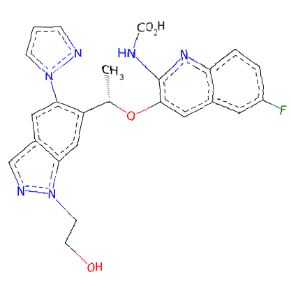 C[C@H](Oc1cc2cc(F)ccc2nc1NC(=O)O)c1cc2c(cnn2CCO)cc1-n1cccn1